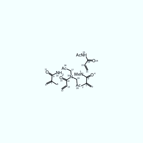 C=C(C)C(=O)NC.C=C(C)C(N)=O.C=CC(=O)N(CC(C)=O)CC(C)=O.C=CC(=O)NC(C)=O